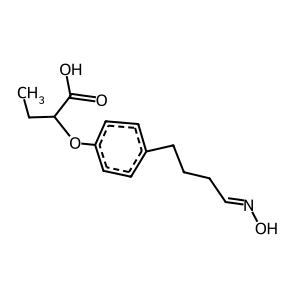 CCC(Oc1ccc(CCCC=NO)cc1)C(=O)O